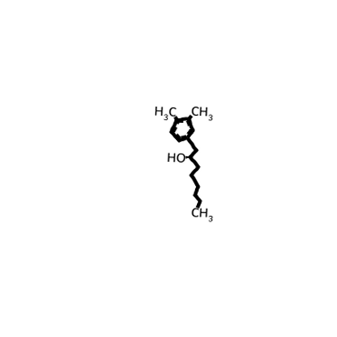 CCCCCC[C@@H](O)Cc1ccc(C)c(C)c1